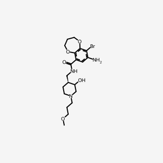 COCCCN1CC[C@@H](CNC(=O)c2cc(N)c(Br)c3c2OCCCO3)C(O)C1